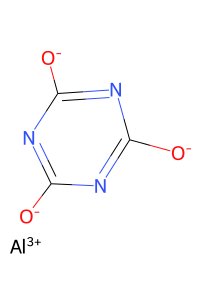 [Al+3].[O-]c1nc([O-])nc([O-])n1